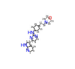 c1cnc2[nH]cc(-c3ccnc(Nc4ccc(CCN5CCOCC5)cc4)n3)c2c1